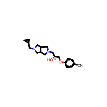 N#Cc1ccc(OC[C@@H](O)CN2CC3CN(CC4CC4)CC3C2)cc1